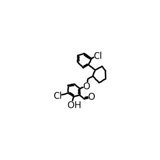 O=Cc1c(OCC2CCCCC2c2ccccc2Cl)ccc(Cl)c1O